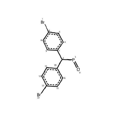 O=PC(c1ccc(Br)cc1)c1ccc(Br)cc1